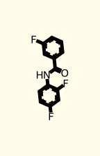 O=C(Nc1ccc(F)cc1F)c1cccc(F)c1